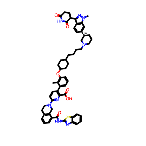 Cc1c(OC2CCC(CCCCN3CCC[C@H](c4ccc5c(C6CCC(=O)NC6=O)nn(C)c5c4)C3)CC2)cccc1-c1ccc(N2CCc3cccc(C(=O)Nc4nc5ccccc5s4)c3C2)nc1C(=O)O